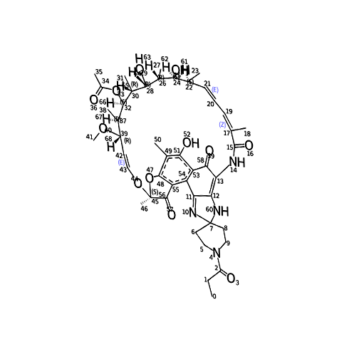 CCC(=O)N1CCC2(CC1)N=C1C(=C3NC(=O)/C(C)=C\C=C\[C@H](C)[C@H](O)[C@@H](C)[C@@H](O)[C@@H](C)[C@H](OC(C)=O)[C@H](C)[C@@H](OC)/C=C/O[C@@]4(C)Oc5c(C)c(O)c(c1c5C4=O)C3=O)N2